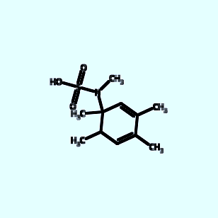 CC1=CC(C)C(C)(N(C)S(=O)(=O)O)C=C1C